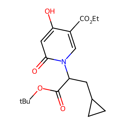 CCOC(=O)c1cn(C(CC2CC2)C(=O)OC(C)(C)C)c(=O)cc1O